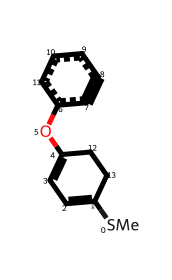 CSC1=CC=C(Oc2c#cccc2)CC1